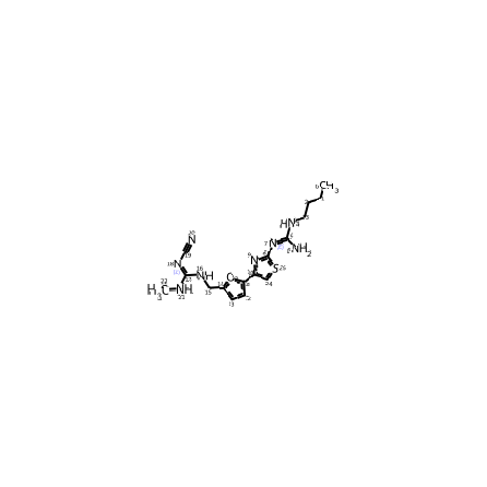 CCCCN/C(N)=N/c1nc(-c2ccc(CN/C(=N\C#N)NC)o2)cs1